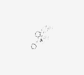 CC(C)(c1ccccc1)n1c(=O)[nH]c2c(N3CCNCC3)cccc21